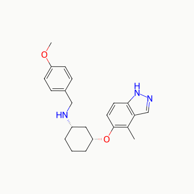 COc1ccc(CN[C@H]2CCC[C@@H](Oc3ccc4[nH]ncc4c3C)C2)cc1